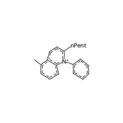 CCCCCc1ccc2c(C)cccc2[n+]1-c1ccccc1